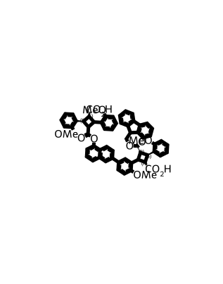 COc1ccc(-c2ccc3c(OC(=O)C4C(c5ccccc5OC)[C@H](C(=O)O)[C@@H]4c4ccccc4OC)cccc3c2)cc1C1[C@H](C(=O)O)[C@H](c2ccccc2OC)[C@H]1C(=O)OCC1c2ccccc2-c2ccccc21